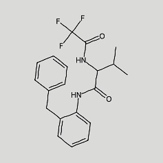 CC(C)C(NC(=O)C(F)(F)F)C(=O)Nc1ccccc1Cc1ccccc1